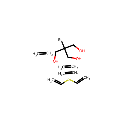 C=C.C=C.C=C.C=CSC=C.CCC(CO)(CO)CO